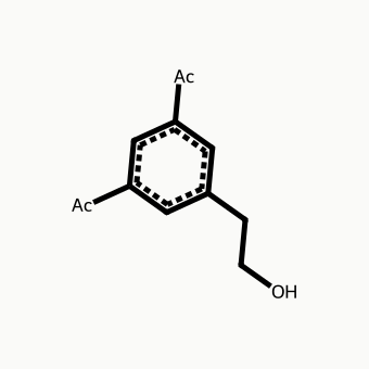 CC(=O)c1cc(CCO)cc(C(C)=O)c1